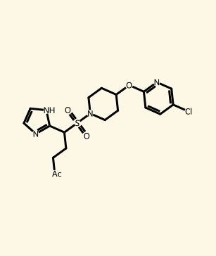 CC(=O)CCC(c1ncc[nH]1)S(=O)(=O)N1CCC(Oc2ccc(Cl)cn2)CC1